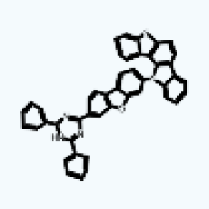 c1ccc(C2=NC(c3ccc4c(c3)oc3cc(-n5c6ccccc6c6ccc7sc8ccccc8c7c65)ccc34)=NC(c3ccccc3)N2)cc1